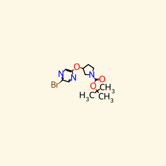 CC(C)(C)OC(=O)N1CCC(Oc2cnc(Br)cn2)C1